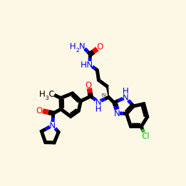 Cc1cc(C(=O)N[C@@H](CCCNC(N)=O)c2nc3cc(Cl)ccc3[nH]2)ccc1C(=O)N1CCCC1